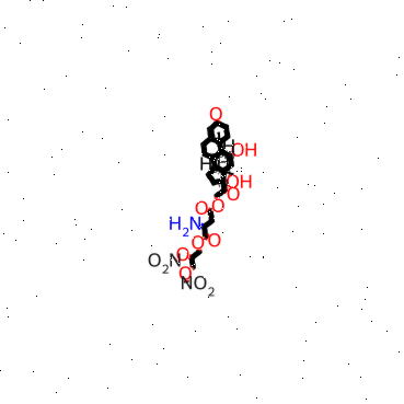 C[C@]12CCC(=O)C=C1CC[C@@H]1[C@@H]2[C@@H](O)C[C@@]2(C)[C@H]1CC[C@]2(O)C(=O)COC(=O)CC(N)C(=O)OCC(CO[N+](=O)[O-])O[N+](=O)[O-]